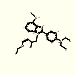 CCN/C=C\C(C)Cn1c(-c2ccc(N(CC)CC)nc2)nc2c(OC)cccc21